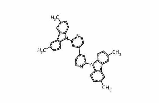 Cc1ccc2c(c1)c1cc(C)ccc1n2-c1cc(-c2ccnc(-n3c4ccc(C)cc4c4cc(C)ccc43)c2)ccn1